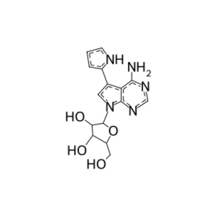 Nc1ncnc2c1c(-c1ccc[nH]1)cn2C1OC(CO)C(O)C1O